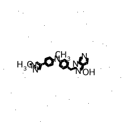 CN(c1ccc(Cc2nc(O)c3ccncc3n2)cc1)c1ccc(-c2cnn(C)c2)cc1